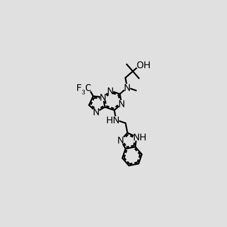 CN(CC(C)(C)O)c1nc(NCc2nc3ccccc3[nH]2)c2ncc(C(F)(F)F)n2n1